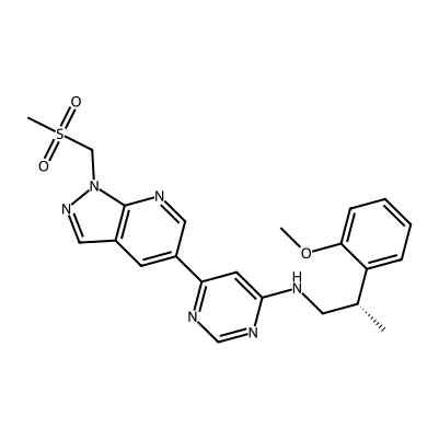 COc1ccccc1[C@H](C)CNc1cc(-c2cnc3c(cnn3CS(C)(=O)=O)c2)ncn1